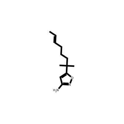 CC=CCCCC(C)(C)c1cc(N)no1